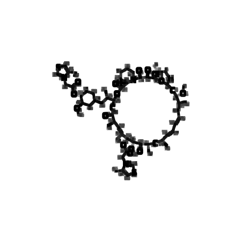 CO[C@H]1C[C@@H]2CC[C@@H](C)[C@@](O)(O2)C(=O)C(=O)N2CCCC[C@H]2C(=O)O[C@H]([C@H](C)C[C@@H]2CC[C@@H](OC(=O)C[n+]3cscc3C)[C@H](OC)C2)CC(=O)[C@H](C)/C=C(\C)[C@@H](OC(=O)C[n+]2cscc2C)[C@@H](OC)C(=O)[C@H](C)C[C@H](C)/C=C/C=C/C=C/1C